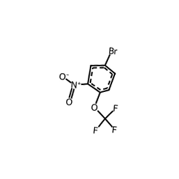 O=[N+]([O-])c1cc(Br)ccc1OC(F)(F)F